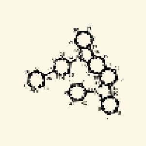 c1ccc(-n2c3ccccc3c3ccc4cc5c6ccccc6n(-c6cnc(-c7cccnc7)nc6)c5cc4c32)cc1